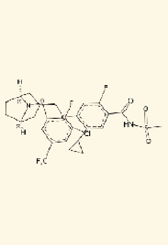 CS(=O)(=O)NC(=O)c1cc(C2CC2)c(OC[C@H]2C[C@H]3CC[C@@H](C2)N3Cc2cc(C(F)(F)F)cc(Cl)c2F)cc1F